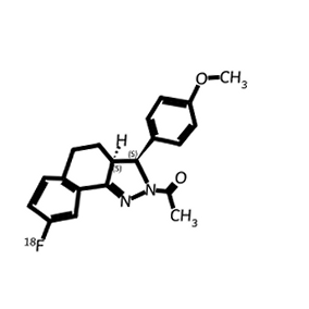 COc1ccc([C@@H]2[C@@H]3CCc4ccc([18F])cc4C3=NN2C(C)=O)cc1